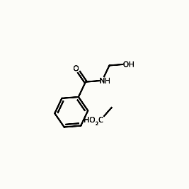 CC(=O)O.O=C(NCO)c1ccccc1